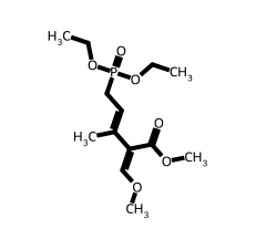 CCOP(=O)(C/C=C(C)/C(=C/OC)C(=O)OC)OCC